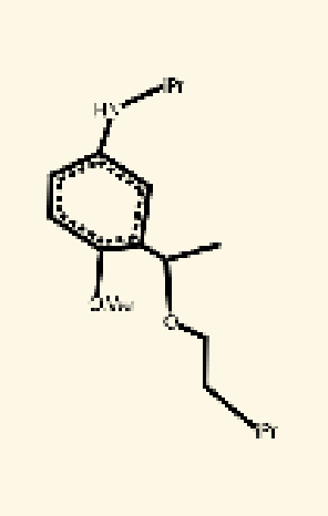 COc1ccc(NC(C)C)cc1C(C)OCCC(C)C